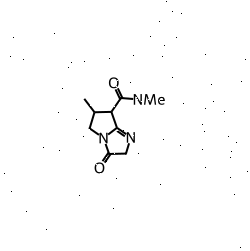 CNC(=O)C1C2=NCC(=O)N2CC1C